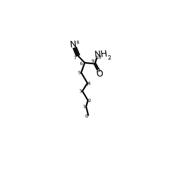 CCCC[CH]CC(C#N)C(N)=O